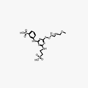 COCNCNOSc1nc(NCCS(=O)(=O)O)nc(Nc2cccc(S(=O)(=O)O)c2)n1